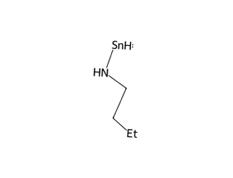 CCCC[NH][SnH]